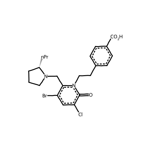 CCC[C@H]1CCCN1Cc1c(Br)cc(Cl)c(=O)n1CCc1ccc(C(=O)O)cc1